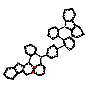 c1ccc(N(c2ccc(-c3ccccc3-c3ccccc3-n3c4ccccc4c4ccccc43)cc2)c2ccccc2-c2cccc3c2oc2ccccc23)cc1